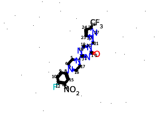 O=c1nc(N2CCN(c3ccc(F)c([N+](=O)[O-])c3)CC2)ncn1Cn1ccc(C(F)(F)F)n1